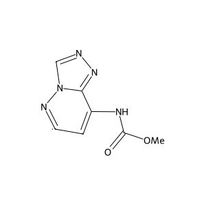 COC(=O)Nc1c[c]nn2cnnc12